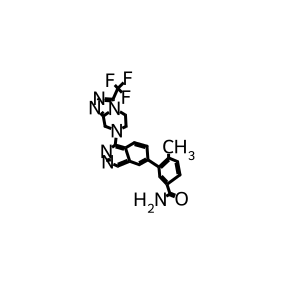 Cc1ccc(C(N)=O)cc1-c1ccc2c(N3CCn4c(nnc4C(F)(F)F)C3)nncc2c1